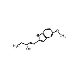 CCC(O)C=Cc1cc2cc(OC)ccc2[nH]1